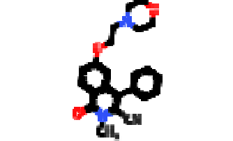 Cn1c(C#N)c(-c2ccccc2)c2cc(OCCN3CCOCC3)ccc2c1=O